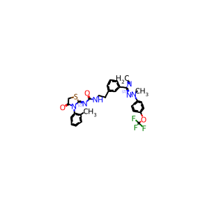 C=N/C(=N\N(C)c1ccc(OC(F)(F)F)cc1)c1cccc(CCNC(=O)/N=C2\SCC(=O)N2c2ccccc2C)c1